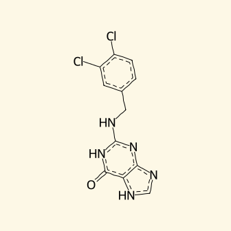 O=c1[nH]c(NCc2ccc(Cl)c(Cl)c2)nc2nc[nH]c12